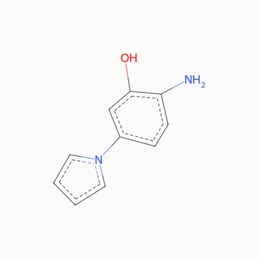 Nc1ccc(-n2cccc2)cc1O